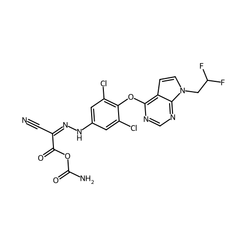 N#CC(=NNc1cc(Cl)c(Oc2ncnc3c2ccn3CC(F)F)c(Cl)c1)C(=O)OC(N)=O